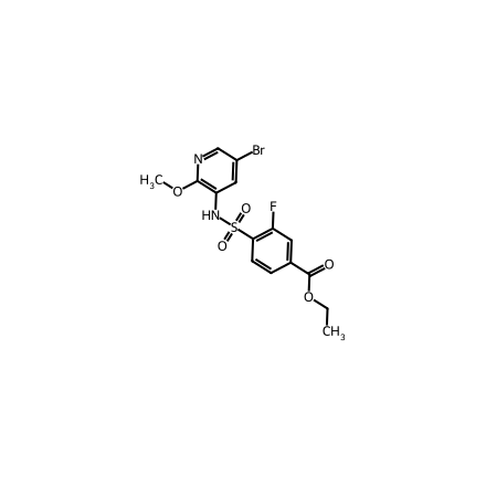 CCOC(=O)c1ccc(S(=O)(=O)Nc2cc(Br)cnc2OC)c(F)c1